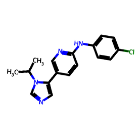 CC(C)n1cncc1-c1ccc(Nc2ccc(Cl)cc2)nc1